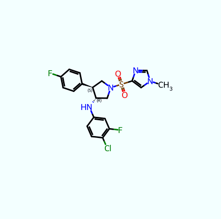 Cn1cnc(S(=O)(=O)N2C[C@H](Nc3ccc(Cl)c(F)c3)[C@@H](c3ccc(F)cc3)C2)c1